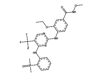 CCOc1cc(C(=O)NOC)ccc1Nc1ncc(C(F)(F)F)c(Nc2ccccc2P(C)(C)=O)n1